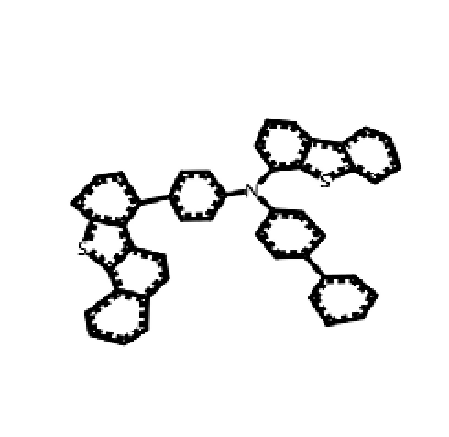 c1ccc(-c2ccc(N(c3ccc(-c4cccc5sc6c7ccccc7ccc6c45)cc3)c3cccc4c3sc3ccccc34)cc2)cc1